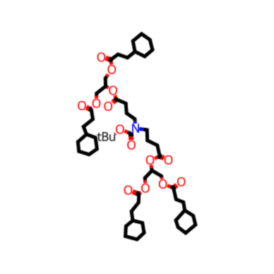 CC(C)(C)OC(=O)N(CCCC(=O)OC(COC(=O)CCC1CCCCC1)COC(=O)CCC1CCCCC1)CCCC(=O)OC(COC(=O)CCC1CCCCC1)COC(=O)CCC1CCCCC1